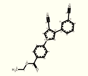 CCOC(=O)c1ccc(-n2cc(C#N)c(-c3cccc(C#N)c3)c2)cc1